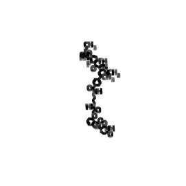 C=Nc1[nH]cc(C(=O)c2c(F)ccc(NS(=O)(=O)CCC)c2F)c1/C=C(\C)c1ccc(C(=O)NCCCCNC(=O)COc2cccc3c2C(=O)N(C2CCC(=O)NC2=O)C3)cc1